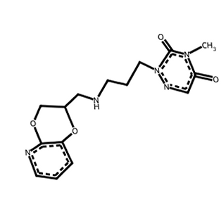 Cn1c(=O)cnn(CCCNCC2COc3ncccc3O2)c1=O